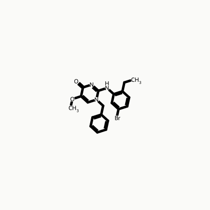 CCc1ccc(Br)cc1Nc1nc(=O)c(OC)cn1Cc1ccccc1